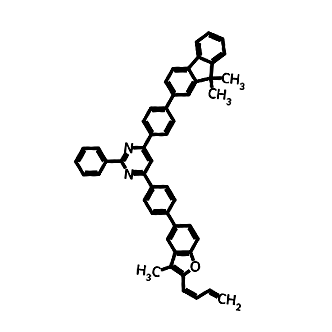 C=C/C=C\c1oc2ccc(-c3ccc(-c4cc(-c5ccc(-c6ccc7c(c6)C(C)(C)c6ccccc6-7)cc5)nc(-c5ccccc5)n4)cc3)cc2c1C